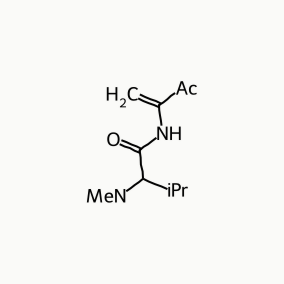 C=C(NC(=O)C(NC)C(C)C)C(C)=O